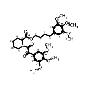 COc1cc(CCCCOC(=O)C2CCCCN2C(=O)C(=O)c2cc(OC)c(OC)c(OC)c2)cc(OC)c1OC